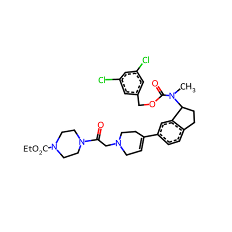 CCOC(=O)N1CCN(C(=O)CN2CC=C(c3ccc4c(c3)C(N(C)C(=O)OCc3cc(Cl)cc(Cl)c3)CC4)CC2)CC1